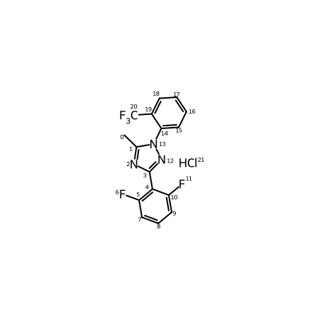 Cc1nc(-c2c(F)cccc2F)nn1-c1ccccc1C(F)(F)F.Cl